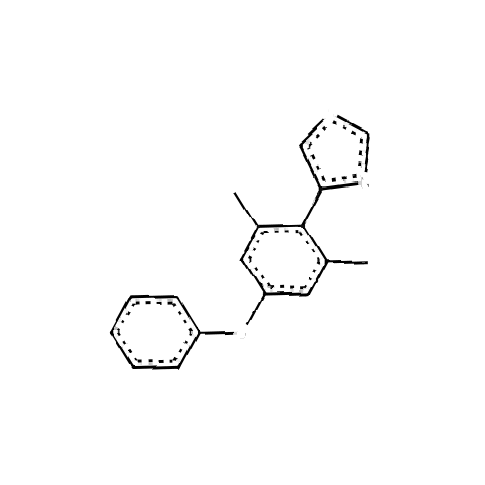 Cc1cc(Oc2ccccc2)cc(C)c1-c1cscn1